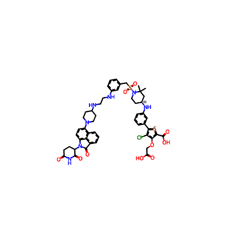 CC1(C)C[C@@H](Nc2cccc(-c3sc(C(=O)O)c(OCC(=O)O)c3Cl)c2)CCN1S(=O)(=O)Cc1cccc(NCCNC2CCN(c3ccc4c5c(cccc35)C(=O)N4C3CCC(=O)NC3=O)CC2)c1